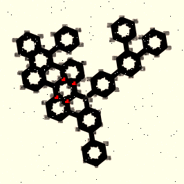 c1ccc(-c2ccc(N(c3ccc(-c4ccc(-c5ccccc5)c(-c5ccccc5)c4)cc3)c3ccc(-c4cccc5c4c(-c4ccccc4)c(-c4ccccc4)c4ccccc45)cc3)c(-c3ccccc3)c2)cc1